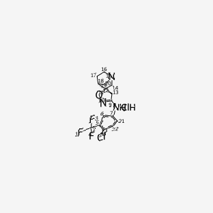 Cl.FC(F)(F)c1cc(NC2=NO[C@@]3(C2)CN2CCC3CC2)ccc1Cl